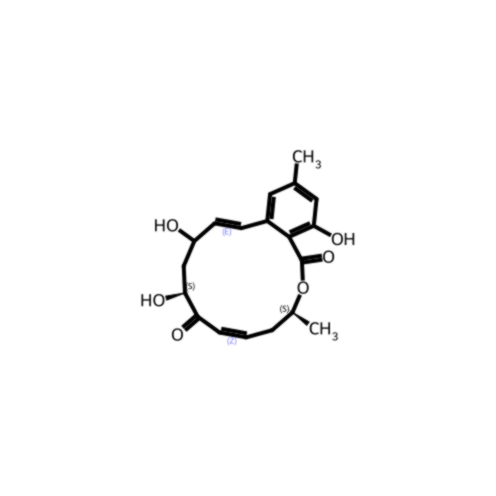 Cc1cc(O)c2c(c1)/C=C/C(O)C[C@H](O)C(=O)/C=C\C[C@H](C)OC2=O